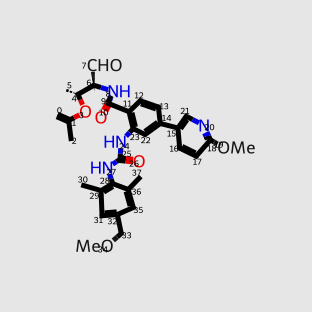 C=C(C)O[C@H](C)[C@@H](C=O)NC(=O)c1ccc(-c2ccc(OC)nc2)cc1NC(=O)Nc1c(C)cc(COC)cc1C